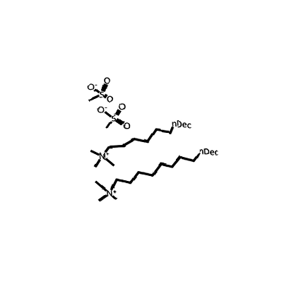 CCCCCCCCCCCCCCCCCC[N+](C)(C)C.CCCCCCCCCCCCCCCC[N+](C)(C)C.CS(=O)(=O)[O-].CS(=O)(=O)[O-]